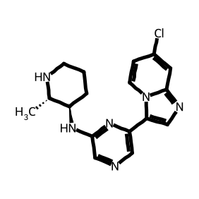 C[C@@H]1NCCC[C@H]1Nc1cncc(-c2cnc3cc(Cl)ccn23)n1